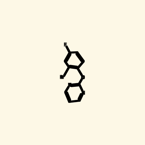 Fc1ccc(Oc2ncccn2)c(Br)c1